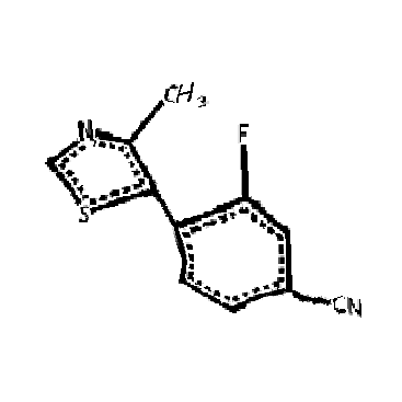 Cc1ncsc1-c1ccc(C#N)cc1F